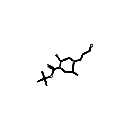 CC1CN(C(=O)OC(C)(C)C)[C@@H](C)CN1CCCCl